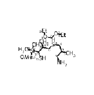 CCOC(OCC)[SiH](CC(C)CN)CC(C)C(S)[Si](C)(C)OC